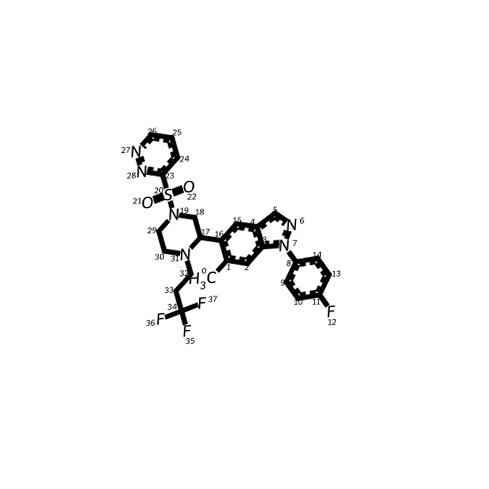 Cc1cc2c(cnn2-c2ccc(F)cc2)cc1C1CN(S(=O)(=O)c2cccnn2)CCN1CCC(F)(F)F